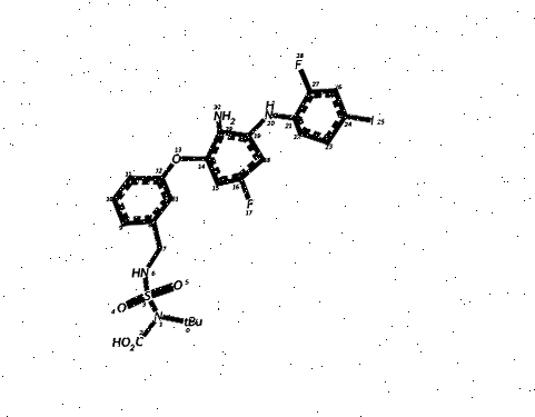 CC(C)(C)N(C(=O)O)S(=O)(=O)NCc1cccc(Oc2cc(F)cc(Nc3ccc(I)cc3F)c2N)c1